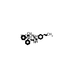 C=CC[C@H]1CC[C@H](c2nnc(CO[Si](c3ccccc3)(c3ccccc3)C(C)(C)C)n2C)CC1